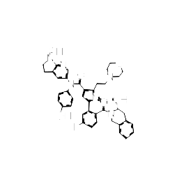 C[C@@H]1Cc2ccccc2CN1C(=O)c1ccc(F)cc1-c1cc(C(=O)N(c2ccc(O)cc2)c2cnc3c(c2)CCN3C)c(CCN2CCOCC2)n1C